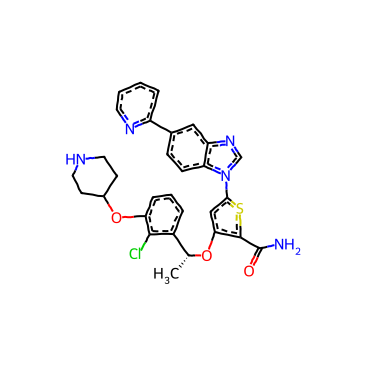 C[C@@H](Oc1cc(-n2cnc3cc(-c4ccccn4)ccc32)sc1C(N)=O)c1cccc(OC2CCNCC2)c1Cl